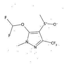 Cn1nc(C(F)(F)F)c([S+](C)[O-])c1OC(F)F